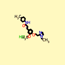 CCn1ccnc1CCOc1ccc(/C=C/C(=O)NC2CCC(C)CC2)cc1OC.Cl